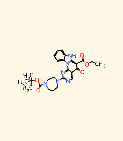 CCOC(=O)c1c(=O)c2cnc(N3CCCN(C(=O)OC(C)(C)C)CC3)nc2n2c1[nH]c1ccccc12